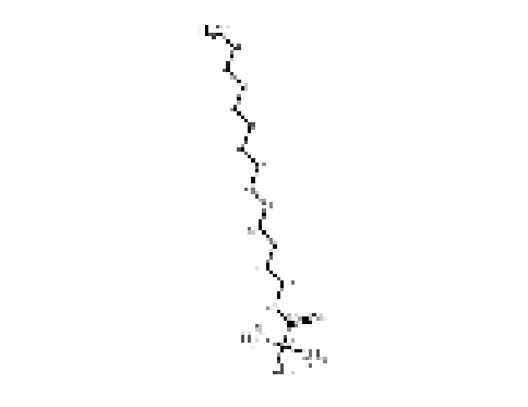 CCCCCCCCCCCCCCCC(=O)C(C)(C)C